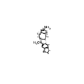 CC(c1ccc2c(c1)OCC2)N1CCc2nc(N)sc2CC1